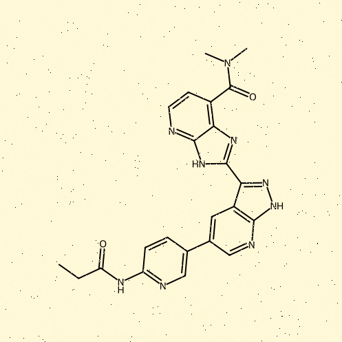 CCC(=O)Nc1ccc(-c2cnc3[nH]nc(-c4nc5c(C(=O)N(C)C)ccnc5[nH]4)c3c2)cn1